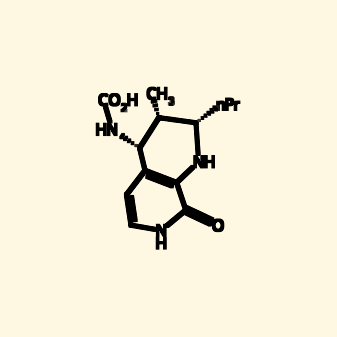 CCC[C@@H]1Nc2c(cc[nH]c2=O)[C@H](NC(=O)O)[C@@H]1C